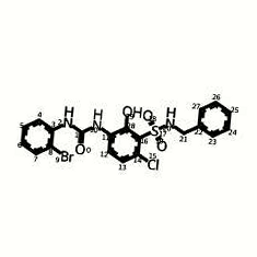 O=C(Nc1ccccc1Br)Nc1ccc(Cl)c(S(=O)(=O)NCc2ccccc2)c1O